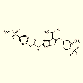 CCS(=O)(=O)c1ccc(CC(=O)Nc2nc3c(s2)CN(C[C@H]2CC[C@@H](C(F)(F)F)N(C)C2)C3C(C)C)cc1